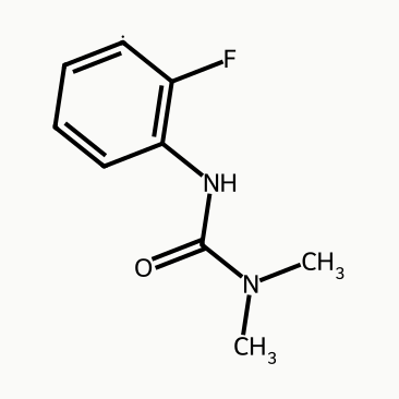 CN(C)C(=O)Nc1ccc[c]c1F